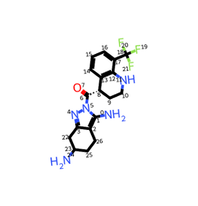 Nc1c2c(nn1C(=O)[C@H]1CCNc3c1cccc3C(F)(F)F)CC(N)CC2